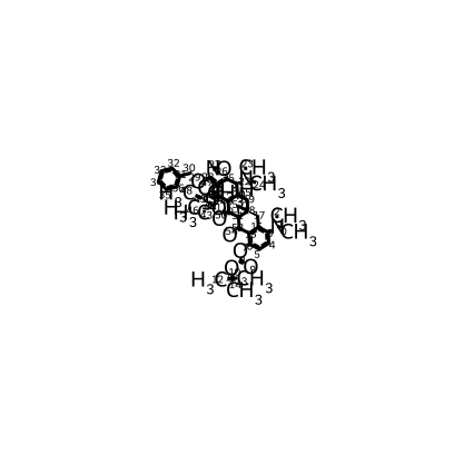 CN(C)c1ccc(OC(=O)OC(C)(C)C)c2c1C[C@@]13C[C@H]4[C@H](N(C)C)c5onc(OCc6ccccc6)c5C(=O)[C@@]4(O[Si](C)(C)C(C)(C)C)C(=O)[C@@]1(C3)C2=O